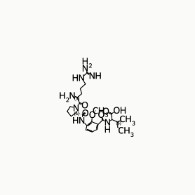 CC[C@H](C)C(NC(=O)c1cccc(NC(=O)[C@@H]2CCCN2C(=O)[C@@H](N)CCCNC(=N)N)c1OC)C(=O)O